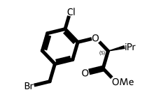 COC(=O)[C@@H](Oc1cc(CBr)ccc1Cl)C(C)C